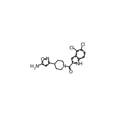 Nc1cc(C2CCN(C(=O)c3cc4c(Cl)c(Cl)ccc4[nH]3)CC2)no1